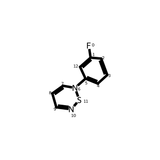 Fc1cccc(N2C=CC=NS2)c1